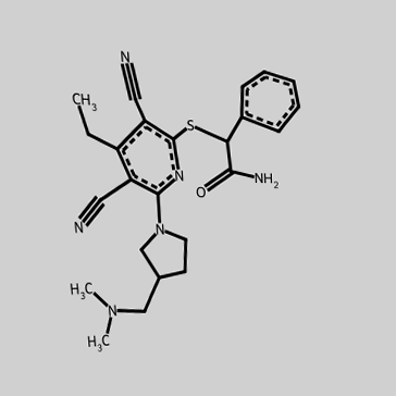 CCc1c(C#N)c(SC(C(N)=O)c2ccccc2)nc(N2CCC(CN(C)C)C2)c1C#N